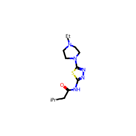 CCN1CCN(c2nnc(NC(=O)CC(C)C)s2)CC1